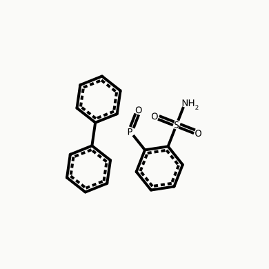 NS(=O)(=O)c1ccccc1P=O.c1ccc(-c2ccccc2)cc1